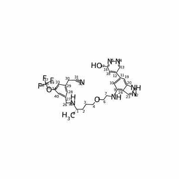 C[C@@H](CCCOCCNc1cc(-c2cnnc(O)c2)cc2[nH]ncc12)NCc1cc(CC#N)cc(OC(F)(F)F)c1